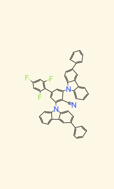 N#Cc1c(-n2c3ccccc3c3cc(-c4ccccc4)ccc32)cc(-c2c(F)cc(F)cc2F)cc1-n1c2ccccc2c2cc(-c3ccccc3)ccc21